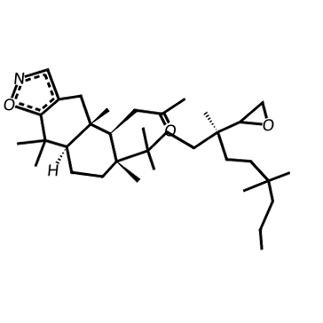 CCCC(C)(C)CC[C@@](C)(CCC(C)(C)[C@]1(C)CC[C@H]2C(C)(C)c3oncc3C[C@]2(C)[C@H]1CC(C)=O)C1CO1